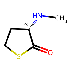 CN[C@H]1CCSC1=O